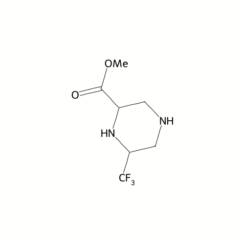 COC(=O)C1CNCC(C(F)(F)F)N1